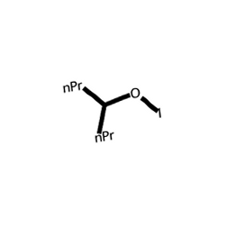 CCCC(CCC)OI